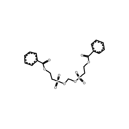 O=C(OCCS(=O)(=O)OCOS(=O)(=O)CCOC(=O)c1ccccc1)c1ccccc1